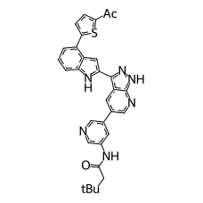 CC(=O)c1ccc(-c2cccc3[nH]c(-c4n[nH]c5ncc(-c6cncc(NC(=O)CC(C)(C)C)c6)cc45)cc23)s1